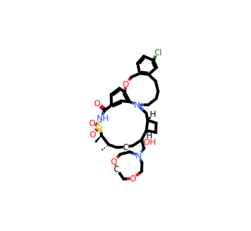 C[C@@H]1[C@@H](C)CCC[C@@](O)(CN2CCOCCOCC2)[C@@H]2CC[C@H]2CN2CCCCc3cc(Cl)ccc3COc3ccc(cc32)C(=O)NS1(=O)=O